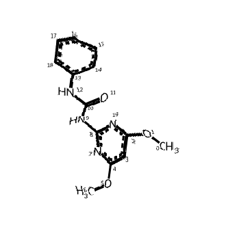 COc1cc(OC)nc(NC(=O)Nc2ccccc2)n1